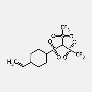 C=CC1CCC(S(=O)(=O)C(S(=O)(=O)C(F)(F)F)S(=O)(=O)C(F)(F)F)CC1